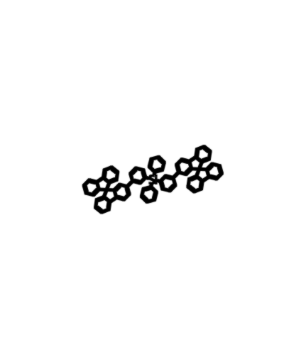 c1ccc([Si](c2ccccc2)(c2cccc(-c3ccc4c(c3)C3(c5ccccc5-c5ccccc53)c3ccccc3-4)c2)c2cccc(-c3ccc4c(c3)C3(c5ccccc5-c5ccccc53)c3ccccc3-4)c2)cc1